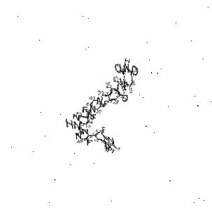 Cc1nc2c(F)cc(-c3nc(Nc4ccc(C(F)(F)N5CCN(Cc6cc7c(cc6F)C(=O)N(C6CCC(=O)NC6=O)C7)CC5)cn4)ncc3F)cc2n1C(C)C